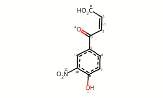 O=C(O)/C=C\C(=O)c1ccc(O)c([N+](=O)[O-])c1